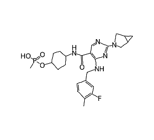 Cc1ccc(CNc2nc(N3CC4CC4C3)ncc2C(=O)NC2CCC(OP(C)(=O)O)CC2)cc1F